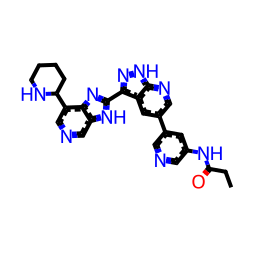 CCC(=O)Nc1cncc(-c2cnc3[nH]nc(-c4nc5c(C6CCCCN6)cncc5[nH]4)c3c2)c1